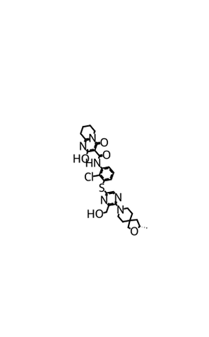 C[C@H]1CC2(CCN(c3ncc(Sc4cccc(NC(=O)c5c(O)nc6n(c5=O)CCCC6)c4Cl)nc3CO)CC2)CO1